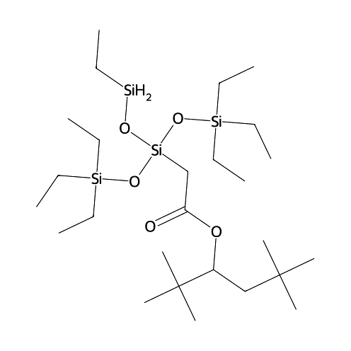 CC[SiH2]O[Si](CC(=O)OC(CC(C)(C)C)C(C)(C)C)(O[Si](CC)(CC)CC)O[Si](CC)(CC)CC